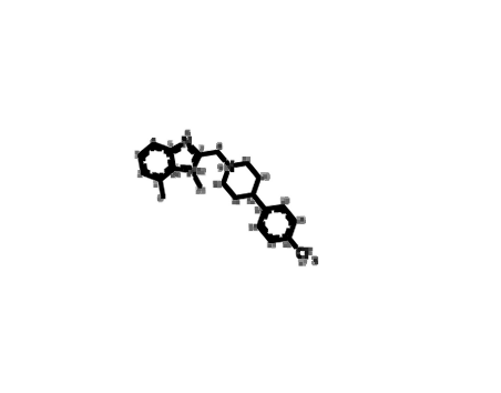 Cc1cccc2nc(CN3CCC(c4ccc(C(F)(F)F)cc4)CC3)n(C)c12